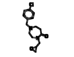 O=C1CCN(Cc2ccc(Cl)cc2)CCN1CC1CO1